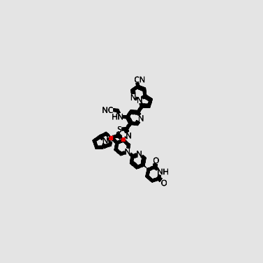 N#CCNc1cc(-c2ccc3cc(C#N)cnn23)ncc1-c1nnc(N2CC3CCC(C2)N3CC2CCN(c3ccc([C@H]4CCC(=O)NC4=O)cn3)CC2)s1